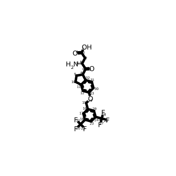 N[C@H](CC(=O)O)C(=O)C1CCc2cc(OCc3cc(C(F)(F)F)cc(C(F)(F)F)c3)ccc21